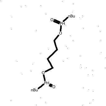 CCCC[PH](=O)OCCCCO[PH](=O)CCCC